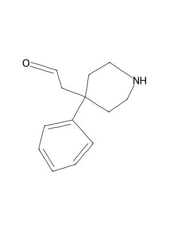 O=CCC1(c2ccccc2)CCNCC1